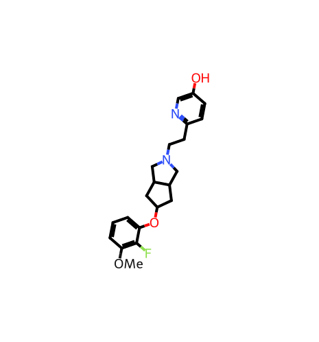 COc1cccc(OC2CC3CN(CCc4ccc(O)cn4)CC3C2)c1F